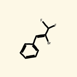 FC(F)C(Br)=Cc1ccccc1